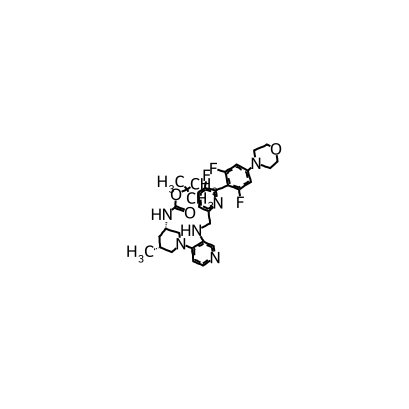 C[C@@H]1C[C@H](NC(=O)OC(C)(C)C)CN(c2ccncc2NCc2ccc(F)c(-c3c(F)cc(N4CCOCC4)cc3F)n2)C1